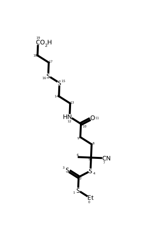 CCSC(=S)SC(C)(C#N)CCC(=O)NCCSSCCC(=O)O